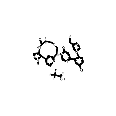 C[C@@H]1CCC[C@H](n2cnc(-c3cc(Cl)ccc3-n3cc(CF)nn3)cc2=O)c2cc(ccn2)-c2c(cnn2C)NC1=O.O=C(O)C(F)(F)F